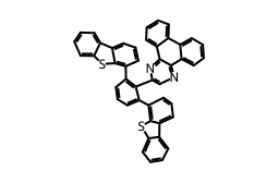 c1cc(-c2cccc3c2sc2ccccc23)c(-c2cnc3c4ccccc4c4ccccc4c3n2)c(-c2cccc3c2sc2ccccc23)c1